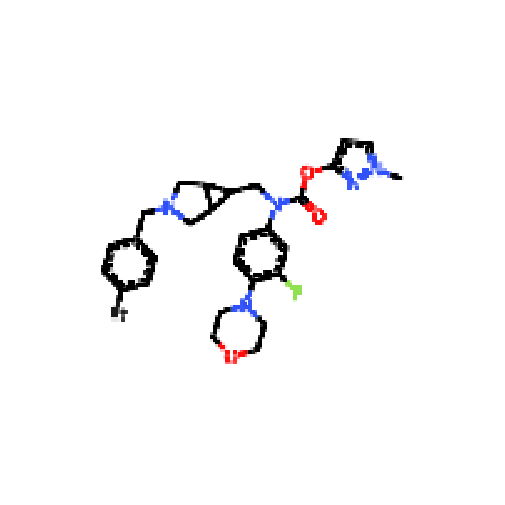 CCc1ccc(CN2CC3C(C2)C3CN(C(=O)Oc2ccn(C)n2)c2ccc(N3CCOCC3)c(F)c2)cc1